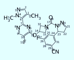 Cc1cnn(C)c1-c1ncc(F)c(OC2CN(C(=O)N3N=CCC3c3cc(F)cc(C#N)c3)C2)n1